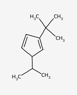 CC(C)C1[C]=C(C(C)(C)C)C=C1